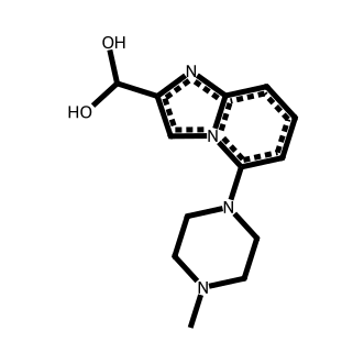 CN1CCN(c2cccc3nc(C(O)O)cn23)CC1